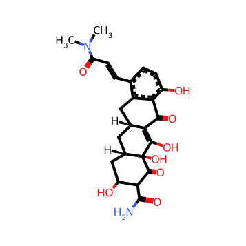 CN(C)C(=O)/C=C/c1ccc(O)c2c1C[C@H]1C[C@H]3CC(O)C(C(N)=O)C(=O)[C@@]3(O)C(O)=C1C2=O